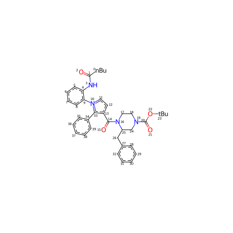 CCCCC(=O)Nc1ccccc1-n1ccc(C(=O)N2CCN(C(=O)OC(C)(C)C)CC2Cc2ccccc2)c1-c1ccccc1